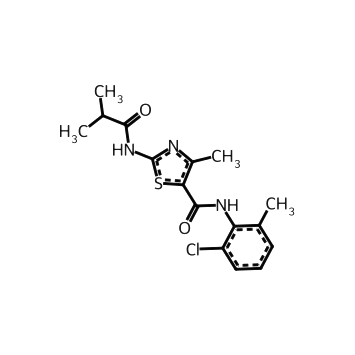 Cc1cccc(Cl)c1NC(=O)c1sc(NC(=O)C(C)C)nc1C